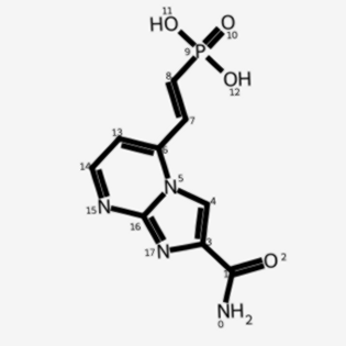 NC(=O)c1cn2c(C=CP(=O)(O)O)ccnc2n1